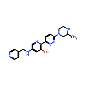 CC1CN(c2ccc(-c3ncc(NCc4ccncc4)cc3O)nn2)CCN1